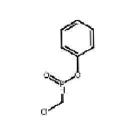 O=[PH](CCl)Oc1ccccc1